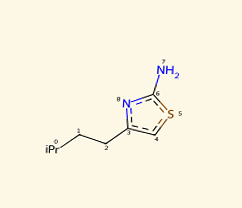 CC(C)CCc1csc(N)n1